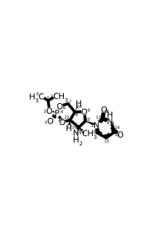 CC(C)O[P@]1(=O)OC[C@H]2O[C@@H](n3ccc(=O)[nH]c3=O)[C@](C)(N)[C@@H]2O1